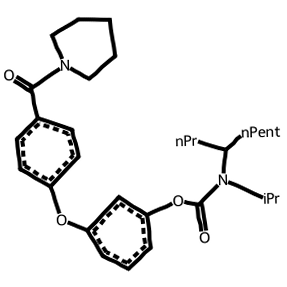 CCCCCC(CCC)N(C(=O)Oc1cccc(Oc2ccc(C(=O)N3CCCCC3)cc2)c1)C(C)C